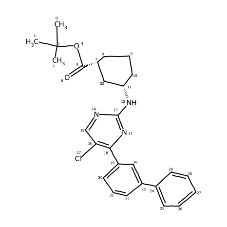 CC(C)(C)OC(=O)[C@@H]1CCC[C@H](Nc2ncc(Cl)c(-c3cccc(-c4ccccc4)c3)n2)C1